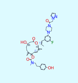 C/C(=C\c1cc(F)cc(N2CCN(C(=O)Cn3cccn3)CC2)c1)[C@H]1OC(=O)C[C@H](O)CC[C@H](C)[C@H](OC(=O)N(C)CCc2ccc(O)cc2)/C=C/[C@@H]1C